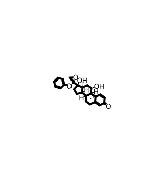 C[C@H]1C[C@H]2[C@@H]3CCC4=CC(=O)C=C[C@]4(C)[C@H]3[C@@H](O)C[C@]2(C)[C@@]1(O)C1(Oc2ccccc2)CO1